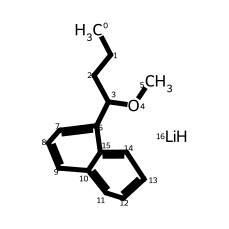 CCCC(OC)c1cccc2ccccc12.[LiH]